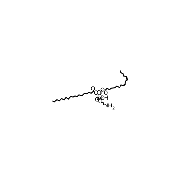 CCCC/C=C\C/C=C\CCCCCCCC(=O)O[C@H](COC(=O)CCCCCCCCCCCCCCCCCC)COP(=O)(O)OCCN